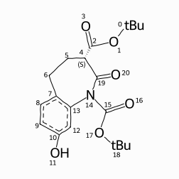 CC(C)(C)OC(=O)[C@H]1CCc2ccc(O)cc2N(C(=O)OC(C)(C)C)C1=O